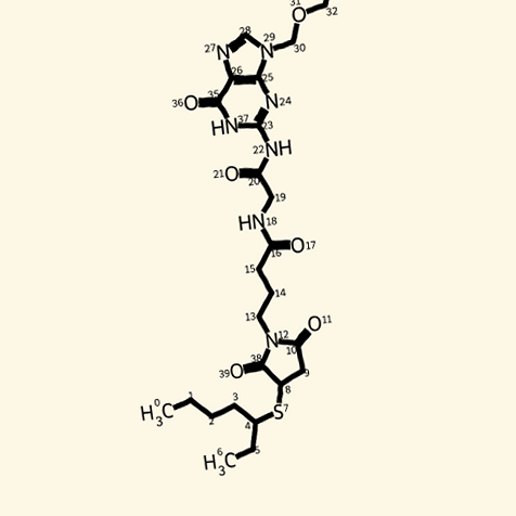 CCCCC(CC)SC1CC(=O)N(CCCC(=O)NCC(=O)Nc2nc3c(ncn3COCCO)c(=O)[nH]2)C1=O